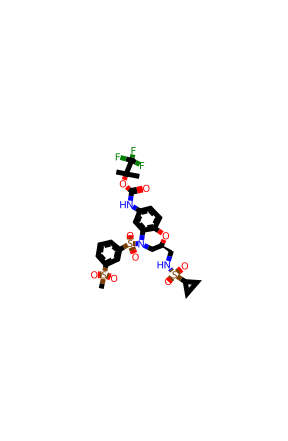 CC(C)(OC(=O)Nc1ccc2c(c1)N(S(=O)(=O)c1cccc(S(C)(=O)=O)c1)C[C@H](CNS(=O)(=O)C1CC1)O2)C(F)(F)F